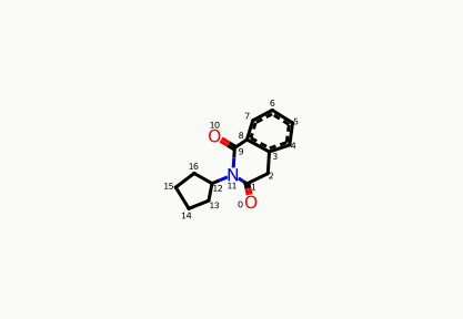 O=C1Cc2ccccc2C(=O)N1C1CCCC1